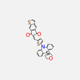 O=C1/C(=C\c2ccc(N3c4ccccc4[Si]4(CCOCC4)c4ccccc43)s2)C(=O)c2cc3sccc3cc21